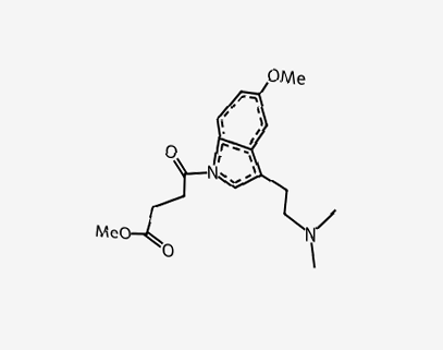 COC(=O)CCC(=O)n1cc(CCN(C)C)c2cc(OC)ccc21